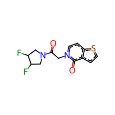 O=C(Cn1ccc2sccc2c1=O)N1CC(F)C(F)C1